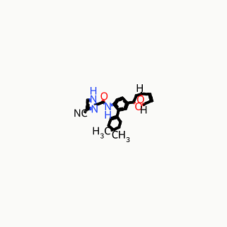 CC1(C)CC=C(c2cc(C3C[C@@H]4C=C[C@H](O3)O4)ccc2NC(=O)c2nc(C#N)c[nH]2)CC1